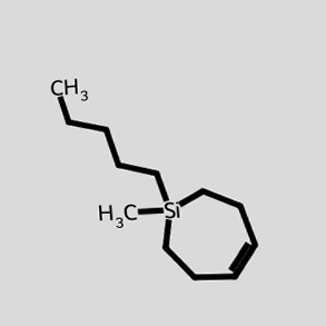 CCCCC[Si]1(C)CCC=CCC1